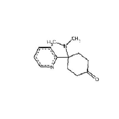 CN(C)C1(c2ccccn2)CCC(=O)CC1